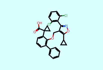 O=C(O)C1(c2cccc(-c3ccccc3)c2OCc2c(-c3c(Cl)cccc3Cl)noc2C2CC2)CC1